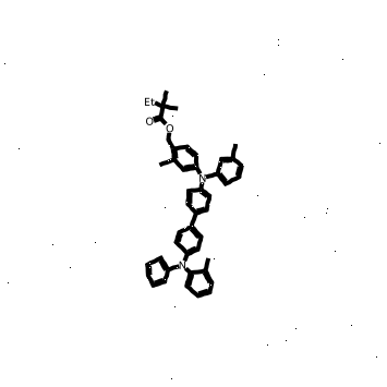 CCC(C)(C)C(=O)OCc1ccc(N(c2ccc(-c3ccc(N(c4ccccc4)c4ccccc4C)cc3)cc2)c2cccc(C)c2)cc1C